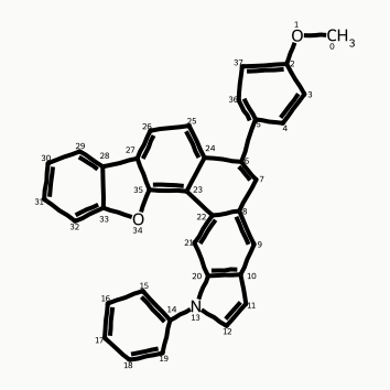 COc1ccc(-c2cc3cc4ccn(-c5ccccc5)c4cc3c3c2ccc2c4ccccc4oc23)cc1